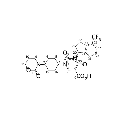 O=C(O)c1cn([C@H]2CC[C@H](N3CCCOC3=O)CC2)c(=O)n([C@@H]2CCc3c2cccc3C(F)(F)F)c1=O